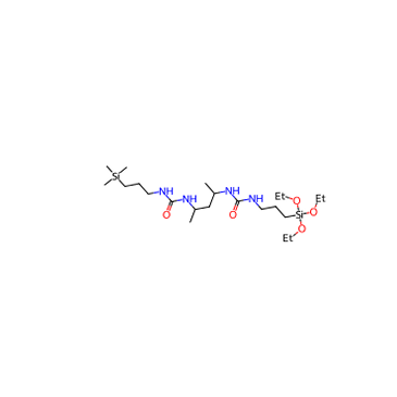 CCO[Si](CCCNC(=O)NC(C)CC(C)NC(=O)NCCC[Si](C)(C)C)(OCC)OCC